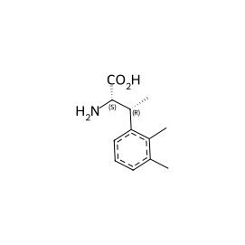 Cc1cccc([C@@H](C)[C@H](N)C(=O)O)c1C